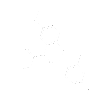 CCC(=O)N(O)c1cc(OC)ccc1COc1ccc(CC)cc1C